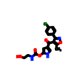 Cc1onc(-c2ccc(Cl)cc2)c1C(=O)c1c[nH]c(OC(=O)NCCO)c1